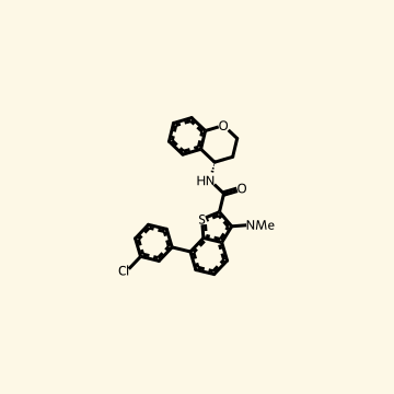 CNc1c(C(=O)N[C@H]2CCOc3ccccc32)sc2c(-c3cccc(Cl)c3)cccc12